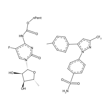 CCCCCOC(=O)Nc1nc(=O)n([C@@H]2O[C@H](C)[C@@H](O)[C@H]2O)cc1F.Cc1ccc(-c2cc(C(F)(F)F)nn2-c2ccc(S(N)(=O)=O)cc2)cc1